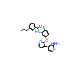 CCCc1cccc(C(=O)Nc2cc(Oc3ncccc3-c3ccnc(NC)c3)ccc2Cl)c1